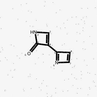 O=C1NC=C1C1=NC=C1